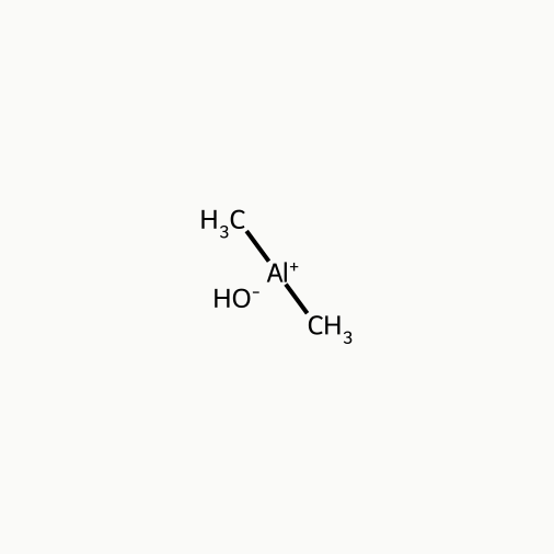 [CH3][Al+][CH3].[OH-]